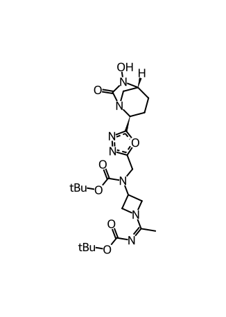 C/C(=N/C(=O)OC(C)(C)C)N1CC(N(Cc2nnc([C@@H]3CC[C@@H]4CN3C(=O)N4O)o2)C(=O)OC(C)(C)C)C1